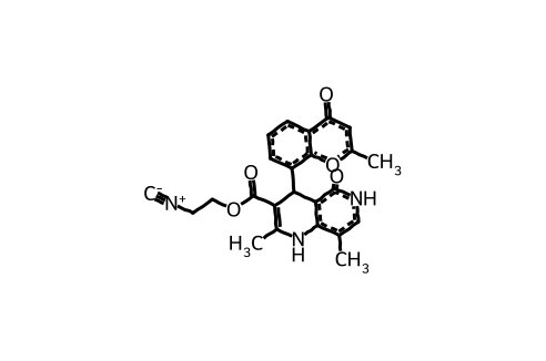 [C-]#[N+]CCOC(=O)C1=C(C)Nc2c(C)c[nH]c(=O)c2C1c1cccc2c(=O)cc(C)oc12